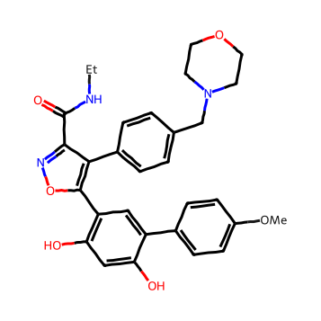 CCNC(=O)c1noc(-c2cc(-c3ccc(OC)cc3)c(O)cc2O)c1-c1ccc(CN2CCOCC2)cc1